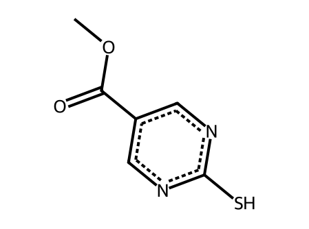 COC(=O)c1cnc(S)nc1